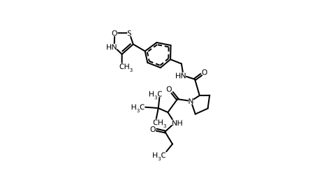 CCC(=O)NC(C(=O)N1CCCC1C(=O)NCc1ccc(C2=C(C)NOS2)cc1)C(C)(C)C